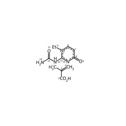 C=C(C)C(=O)O.CCn1ccc(=O)nc1NC(N)=O